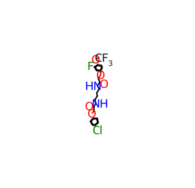 O=C(COc1ccc(Cl)cc1)NCCCCNC(=O)COc1ccc(OC(F)(F)F)c(F)c1